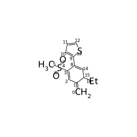 C=C1C=C(S(C)(=O)=O)C(c2cccs2)=CC1CC